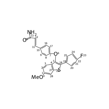 COc1ccc2c(Oc3ccc(C=CC(N)=O)cc3)c(-c3ccc(F)cc3)sc2c1